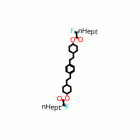 CCCCCCC[C@@H](F)C(=O)OC1CCC(CCc2ccc(CCC3CCC(OC(=O)[C@H](F)CCCCCCC)CC3)cc2)CC1